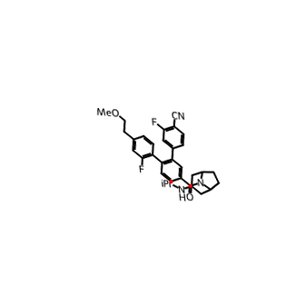 COCCc1ccc(-c2ccc(C(=O)N3C4CCC3CC(NC(C)C)C4)cc2-c2ccc(C#N)c(F)c2)c(F)c1